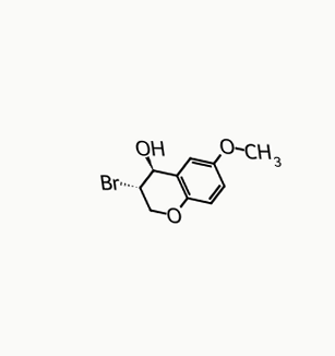 COc1ccc2c(c1)[C@H](O)[C@@H](Br)CO2